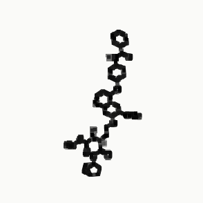 COc1cc2c(Oc3ccc(NC(=O)c4ccccc4)cc3)ccnc2cc1OCC[C@H](NC(=O)OC(C)(C)C)C(=O)OC12CCC(CC1)C2